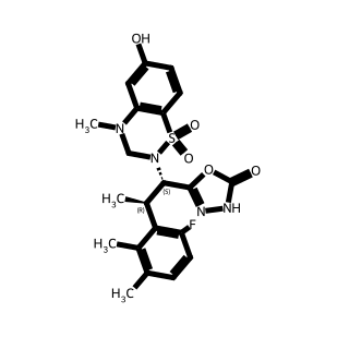 Cc1ccc(F)c([C@@H](C)[C@@H](c2n[nH]c(=O)o2)N2CN(C)c3cc(O)ccc3S2(=O)=O)c1C